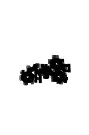 CC(Cc1ccccc1)Nc1ncc(-c2ccncc2-c2ccccc2Cl)s1